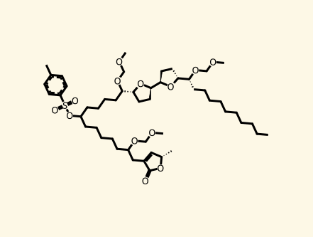 CCCCCCCCCC[C@@H](OCOC)[C@H]1CC[C@H]([C@H]2CC[C@H](C(CCCCC(CCCCCC(CC3=C[C@H](C)OC3=O)OCOC)OS(=O)(=O)c3ccc(C)cc3)OCOC)O2)O1